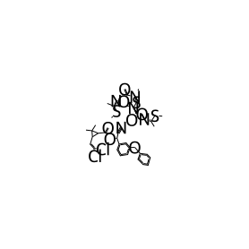 CC1(C)C(C=C(Cl)Cl)C1C(=O)OC(C#N)c1cccc(Oc2ccccc2)c1.CS/C(C)=N\OC(=O)N(C)SN(C)C(=O)O/N=C(/C)SC